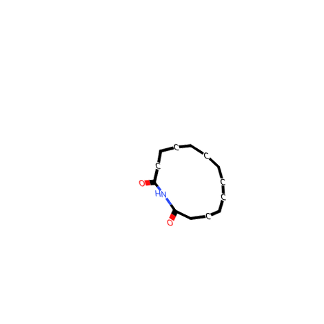 O=C1CCCCCCCCCCCC(=O)N1